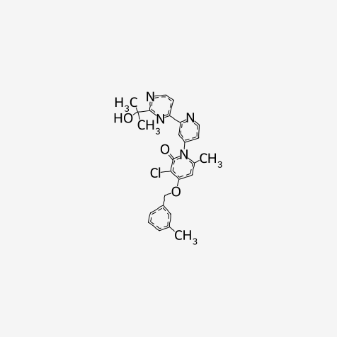 Cc1cccc(COc2cc(C)n(-c3ccnc(-c4ccnc(C(C)(C)O)n4)c3)c(=O)c2Cl)c1